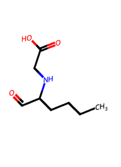 CCCCC(C=O)NCC(=O)O